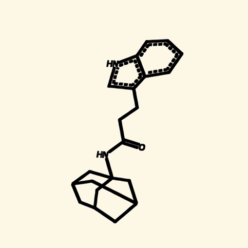 O=C(CCc1c[nH]c2ccccc12)NC12CC3CC(CC(C3)C1)C2